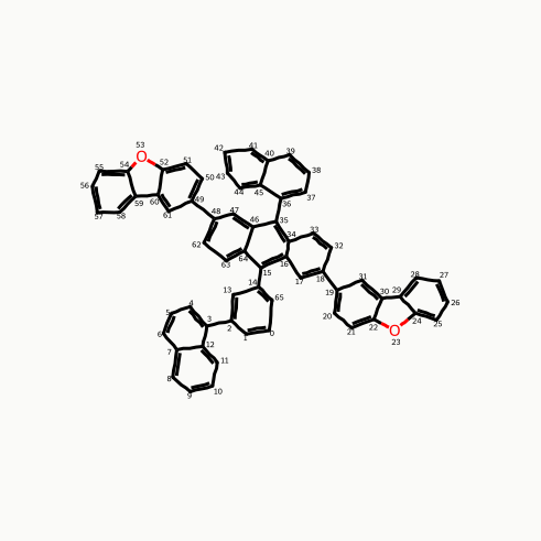 c1cc(-c2cccc3ccccc23)cc(-c2c3cc(-c4ccc5oc6ccccc6c5c4)ccc3c(-c3cccc4ccccc34)c3cc(-c4ccc5oc6ccccc6c5c4)ccc23)c1